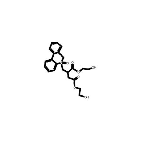 O=C(CC(CP1(=O)Cc2ccccc2-c2ccccc21)C(=O)OCCO)OCCO